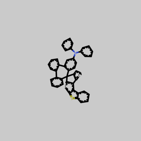 c1ccc(N(c2ccccc2)c2ccc3c(c2)-c2ccccc2-c2ccccc2C32c3ccccc3-c3c2ccc2sc4ccccc4c32)cc1